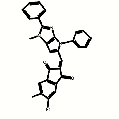 CCc1cc2c(cc1C)C(=O)/C(=C\c1cc3c(nc(-c4ccccc4)n3C)n1-c1ccccc1)C2=O